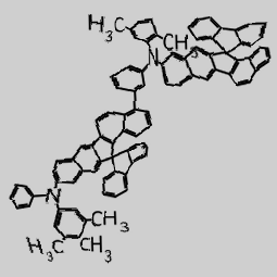 Cc1ccc(C)c(N(c2cccc(-c3cccc4c5c(ccc34)-c3cc4ccc(N(c6ccccc6)c6cc(C)c(C)c(C)c6)cc4cc3C53c4ccccc4-c4ccccc43)c2)c2ccc3cc4c(cc3c2)C2(c3ccccc3-c3ccccc32)c2c-4ccc3ccccc23)c1